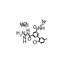 Cc1ccc(Cl)c(-c2cc(C(=O)NCCN(C)C)cc(C(=O)NC(=N)N)c2)c1.Cl.Cl